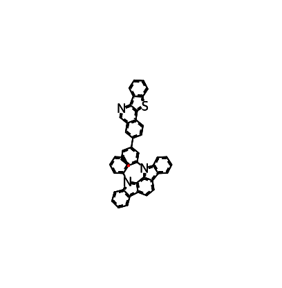 c1ccc(-n2c3ccccc3c3ccc4c5ccccc5n(-c5cccc(-c6ccc7c(cnc8c9ccccc9sc78)c6)c5)c4c32)cc1